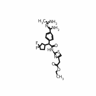 CCOC(=O)Cc1csc(NC(=O)C(c2ccc(/C(N)=N/N(C)N)cc2)C2CCC(F)(F)C2)n1